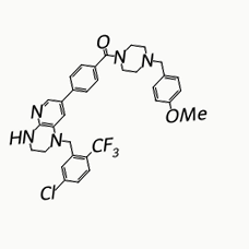 COc1ccc(CN2CCN(C(=O)c3ccc(-c4cnc5c(c4)N(Cc4cc(Cl)ccc4C(F)(F)F)CCN5)cc3)CC2)cc1